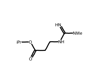 CNC(=N)NCCC(=O)OC(C)C